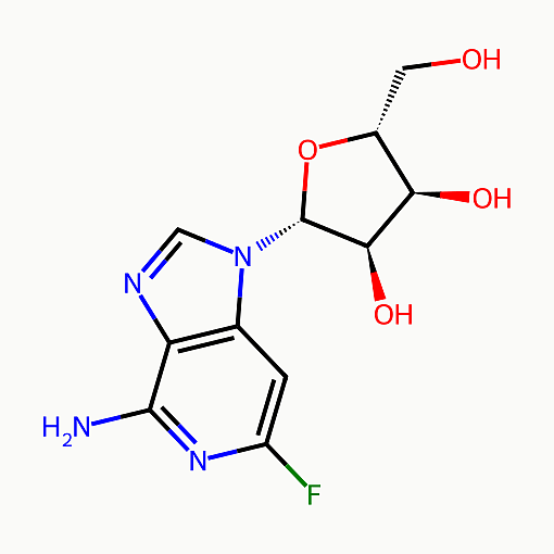 Nc1nc(F)cc2c1ncn2[C@@H]1O[C@H](CO)[C@@H](O)[C@H]1O